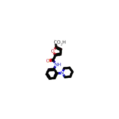 O=C(O)c1ccc(C(=O)Nc2ccccc2N2CCCCC2)o1